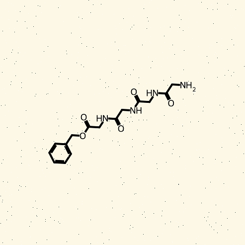 NCC(=O)NCC(=O)NCC(=O)NCC(=O)OCc1ccccc1